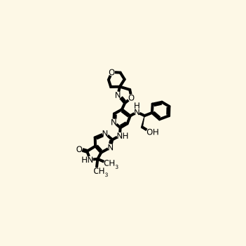 CC1(C)NC(=O)c2cnc(Nc3cc(N[C@H](CO)c4ccccc4)c(C4=NC5(CCOCC5)CO4)cn3)nc21